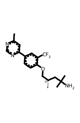 Cc1cc(-c2ccc(OC[C@@H](C)CC(C)(C)N)c(C(F)(F)F)c2)ncn1